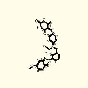 CCN(Cc1cccc(-n2nc3ccc(OC)cc3n2)c1O)c1ccc(C=C2C(=O)NC(=O)NC2=O)cc1